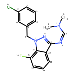 CN(C)/C=N\c1nn(Cc2cccc(Cl)c2)c2c(F)cccc12